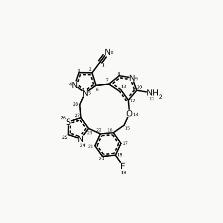 N#Cc1cnn2c1-c1cnc(N)c(c1)OCc1cc(F)ccc1-c1ncsc1C2